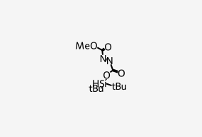 COC(=O)N=NC(=O)O[SiH](C(C)(C)C)C(C)(C)C